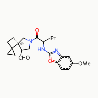 COc1ccc2oc(NC(C(=O)N3CC(C=O)[C@]4(CCC45CC5)C3)C(C)C)nc2c1